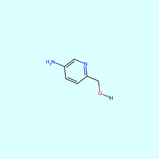 [3H]OCc1ccc(N)cn1